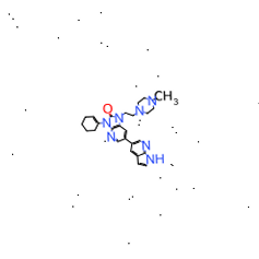 CN1CCN(CCn2c(=O)n(C3=CCCCC3)c3ncc(-c4cnc5[nH]ccc5c4)cc32)CC1